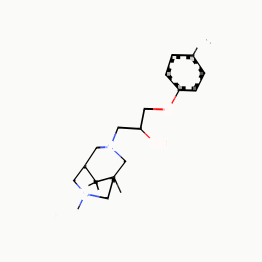 CC(C)(C)C12CN(CC(O)COc3ccc(C#N)cc3)CC(CN(C(=O)O)C1)C2(C)C